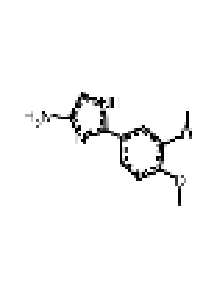 COc1ccc(-c2nc(N)c[nH]2)cc1OC